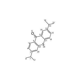 CC(C)c1ccc2c(=O)c3cc(C(C)C)ccc3sc2c1